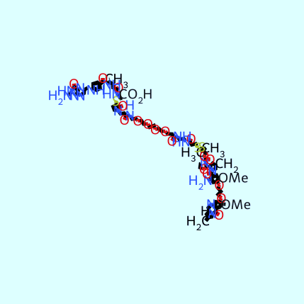 C=C1C[C@H]2C=Nc3cc(OCCCOc4cc(N)c(C(=O)N5CC(=C)C[C@H]5C5OCCN5C(=O)OCC(C)(C)SSCCC(=O)NCCNC(=O)CCOCCOCCOCCOCCNC(=O)CCN5CCC(SC[C@H](NC(=O)CC[C@@H](C)NC(=O)c6ccc(NCc7cnc8nc(N)[nH]c(=O)c8n7)cc6)C(=O)O)C5=O)cc4OC)c(OC)cc3C(=O)N2C1